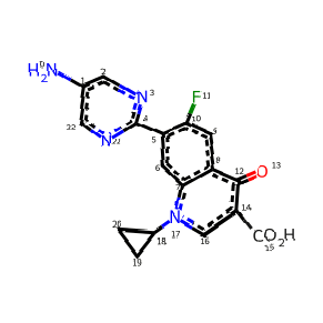 Nc1cnc(-c2cc3c(cc2F)c(=O)c(C(=O)O)cn3C2CC2)nc1